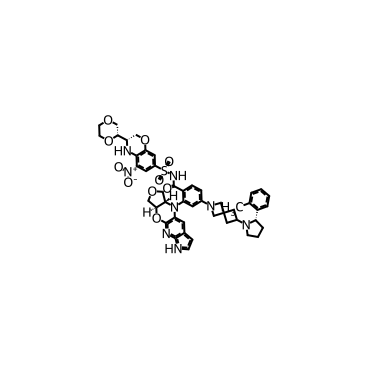 Cc1ccccc1[C@@H]1CCCN1C1CC2(C1)CN(c1ccc(C(=O)NS(=O)(=O)c3cc4c(c([N+](=O)[O-])c3)N[C@H]([C@H]3COCCO3)CO4)c(N3c4cc5cc[nH]c5nc4O[C@H]4COC[C@@H]43)c1)C2